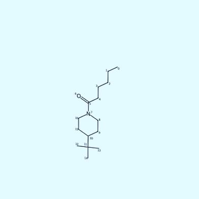 CCCCCC(=O)N1CCC(C(C)(C)C)CC1